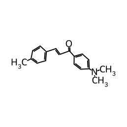 Cc1ccc(/C=C/C(=O)c2ccc(N(C)C)cc2)cc1